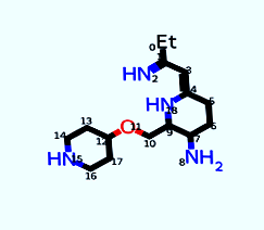 CCC(=N)/C=C1/CCC(N)C(COC2CCNCC2)N1